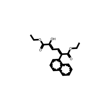 CCOC(=O)/C(O)=C/C=C(/C(=O)OCC)c1cccc2ccccc12